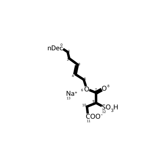 CCCCCCCCCCCCC=CCOC(=O)C(CC(=O)[O-])S(=O)(=O)O.[Na+]